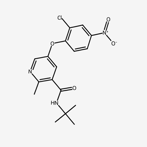 Cc1ncc(Oc2ccc([N+](=O)[O-])cc2Cl)cc1C(=O)NC(C)(C)C